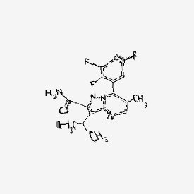 Cc1cnc2c(C(C)C)c(C(N)=O)nn2c1-c1cc(F)cc(F)c1F